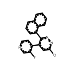 Fc1cnccc1-c1cc(Cl)nnc1-c1cccc2ccccc12